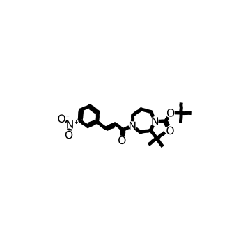 CC(C)(C)OC(=O)N1CCCN(C(=O)C=Cc2cccc([N+](=O)[O-])c2)CC1C(C)(C)C